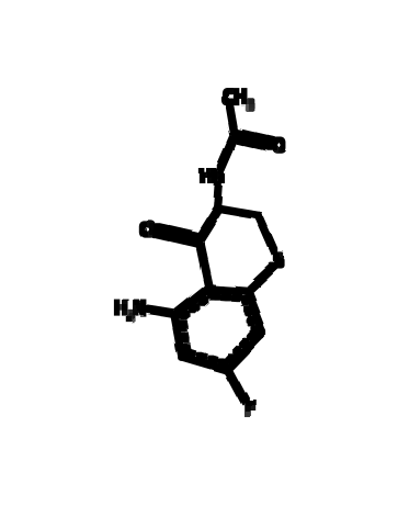 CC(=O)NC1CSc2cc(F)cc(N)c2C1=O